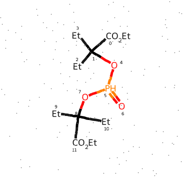 CCOC(=O)C(CC)(CC)O[PH](=O)OC(CC)(CC)C(=O)OCC